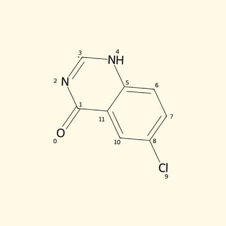 O=c1n[c][nH]c2ccc(Cl)cc12